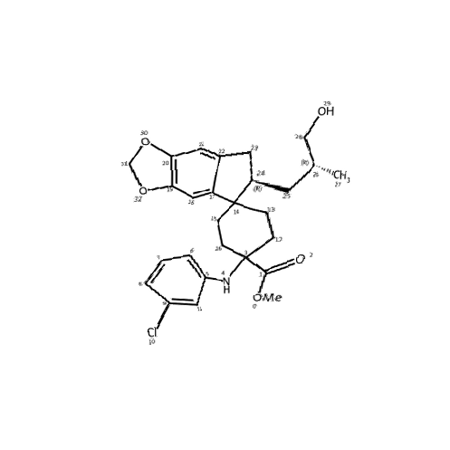 COC(=O)C1(Nc2cccc(Cl)c2)CCC2(CC1)c1cc3c(cc1C[C@H]2C[C@@H](C)CO)OCO3